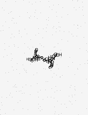 Cc1c(COc2nc(OCCN3CCOCC3)c(CNC[C@@H](O)CC(=O)O)cc2Cl)cccc1-c1cccc(COc2nc(OCCN3CCOCC3)c(CNC[C@@H](O)CC(=O)O)cc2Cl)c1C